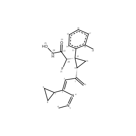 C=C(/C=C(\N=N/C)C1CC1)[C@H]1C[C@@]1(c1ccccc1C)C(F)C(=O)NO